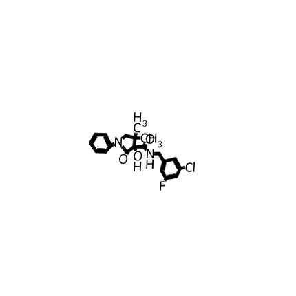 CC1(C)CN(c2ccccc2)C(=O)C1(O)C(=O)NCc1cc(F)cc(Cl)c1